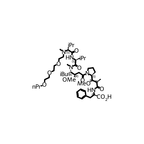 CCCOCCOCCOCCN(C)[C@H](C(=O)N[C@H](C(=O)N(C)[C@@H]([C@@H](C)CC)[C@@H](CC(=O)N1CCC[C@H]1[C@H](OC)[C@@H](C)C(=O)N[C@H](Cc1ccccc1)C(=O)O)OC)C(C)C)C(C)C